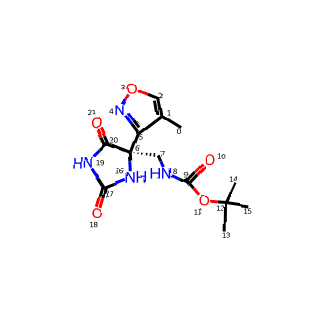 Cc1conc1[C@@]1(CNC(=O)OC(C)(C)C)NC(=O)NC1=O